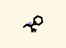 C/C=C(\C(C)C)N1CCCCC1